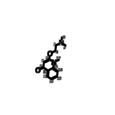 CN(C)CCOc1cc(=O)c2ccccc2n1C